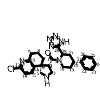 O=C([C@@H]1CNC[C@]12CCCc1nc(Cl)ccc12)N1CC[C@@H](c2ccccc2)CC1c1nnn[nH]1